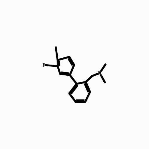 Cc1ccc(-c2ccccc2CN(C)C)cc1F